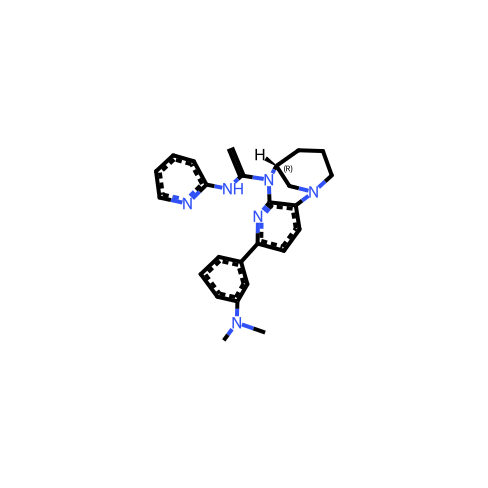 C=C(Nc1ccccn1)N1c2nc(-c3cccc(N(C)C)c3)ccc2N2CCC[C@@H]1C2